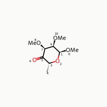 CO[C@H]1O[C@H](C)C(=O)[C@@H](OC)[C@H]1OC